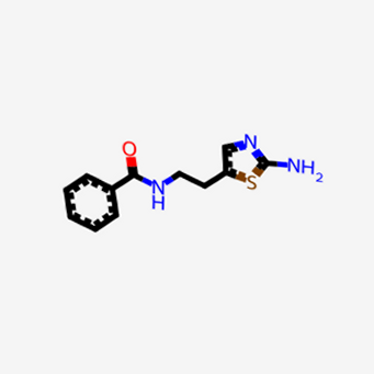 Nc1ncc(CCNC(=O)c2ccccc2)s1